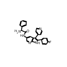 N[C@@H](C(=O)Nc1cnc2[nH]c(-c3ccc(F)cc3)c(-c3ccncc3)c2c1)c1ccccc1